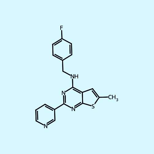 Cc1cc2c(NCc3ccc(F)cc3)nc(-c3cccnc3)nc2s1